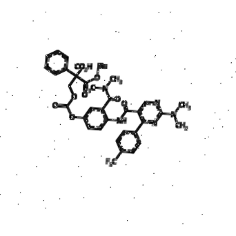 CCC(C)OC(=O)C(COC(=O)Oc1ccc(NC(=O)c2cnc(N(C)C)nc2-c2ccc(C(F)(F)F)cc2)c(C(=O)N(C)C)c1)(C(=O)O)c1ccccc1